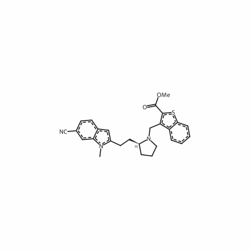 COC(=O)c1sc2ccccc2c1CN1CCC[C@H]1CCc1cc2ccc(C#N)cc2n1C